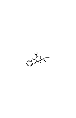 CCN(C)c1cc(=O)c2cc3ccccc3cc2o1